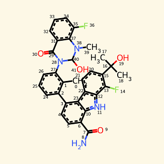 Cc1c(-c2ccc(C(N)=O)c3[nH]c4c(F)c(C(C)(C)O)ccc4c23)cccc1N1C(=O)c2cccc(F)c2N(C)C1O